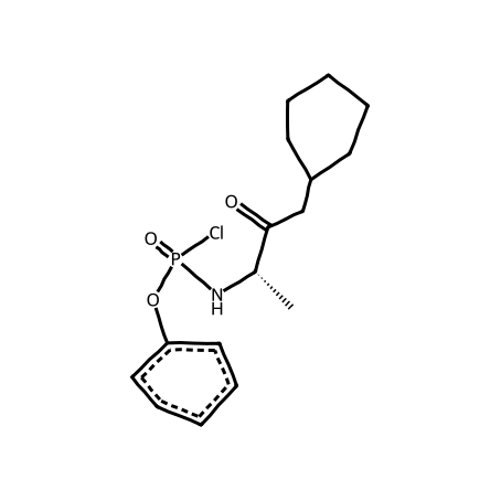 C[C@H](NP(=O)(Cl)Oc1ccccc1)C(=O)CC1CCCCC1